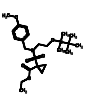 CCOC(=O)C1(S(=O)(=O)N(CCO[Si](C)(C)C(C)(C)C)Cc2ccc(OC)cc2)CC1